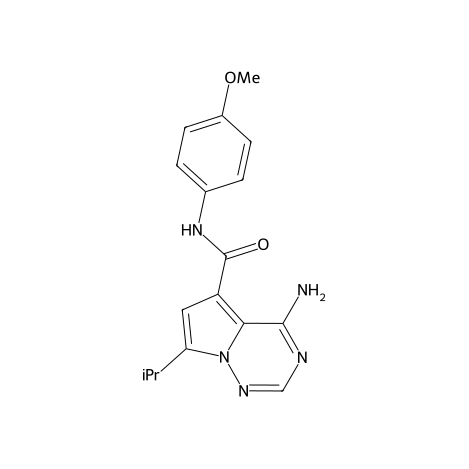 COc1ccc(NC(=O)c2cc(C(C)C)n3ncnc(N)c23)cc1